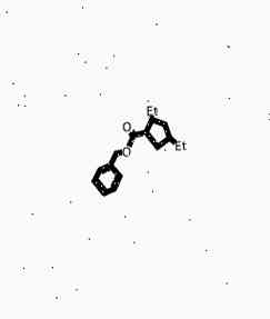 CCC1CC(CC)C(C(=O)OCc2ccccc2)C1